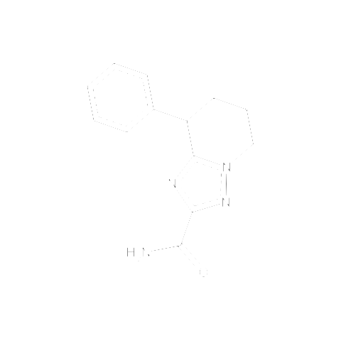 NC(=O)c1nc2n(n1)CCCC2c1ccccc1